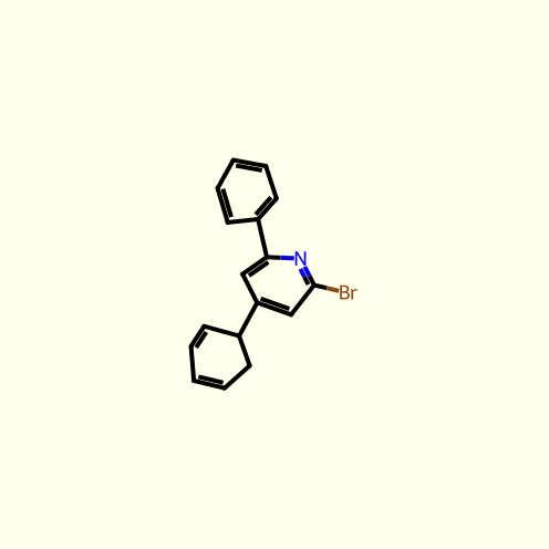 Brc1cc(C2C=CC=CC2)cc(-c2ccccc2)n1